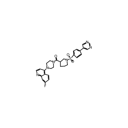 O=C(C1CCCN(S(=O)(=O)c2ccc(-c3cncnc3)cc2)C1)N1CCN(c2ccnc3cc(F)ccc23)CC1